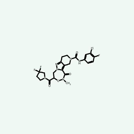 CN1OC(C(=O)N2CCC(F)(F)C2)Cn2nc3c(c2C1=O)CN(C(=O)Nc1ccc(F)c(Cl)c1)CC3